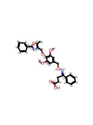 COc1cc(CO/N=C(\CCC(=O)O)c2ccccc2)cc(OC)c1OCc1nc(-c2ccccc2)oc1C